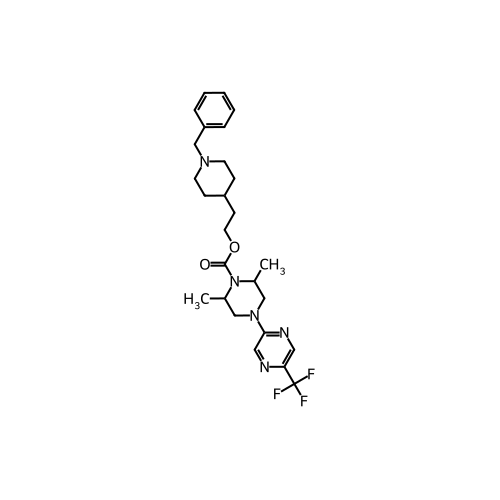 CC1CN(c2cnc(C(F)(F)F)cn2)CC(C)N1C(=O)OCCC1CCN(Cc2ccccc2)CC1